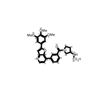 COc1cc(-c2cc3nccc(-c4cccc(C(=O)N5CCC(NC(=O)O)C5)c4)c3o2)cc(OC)c1OC